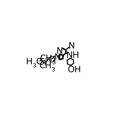 C[Si](C)(C)CCOCn1ccc2c(N[C@H]3CC[C@H](O)CC3)c(C#N)cnc21